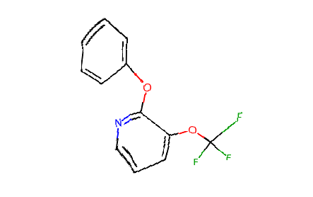 FC(F)(F)Oc1cccnc1Oc1ccccc1